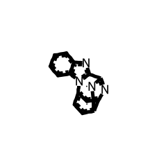 [c]1c2ccc3c1N=C([N]3)c1nc3ccccc3n1-2